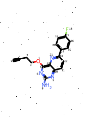 C#CCCOc1nc(N)nc2ccc(-c3ccc(F)cc3)nc12